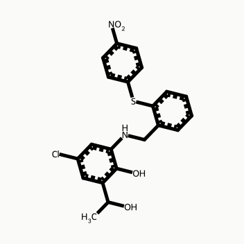 CC(O)c1cc(Cl)cc(NCc2ccccc2Sc2ccc([N+](=O)[O-])cc2)c1O